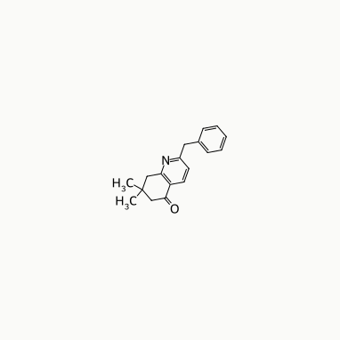 CC1(C)CC(=O)c2ccc(Cc3ccccc3)nc2C1